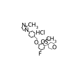 Cc1nccn1-c1ccc(COc2cc(F)cc(C3([S+](C)[O-])CCOCC3)c2)cc1.Cl